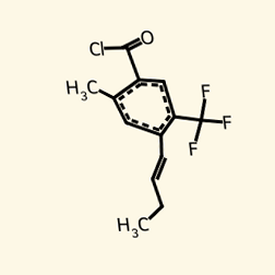 CCC=Cc1cc(C)c(C(=O)Cl)cc1C(F)(F)F